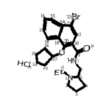 CCN1CCCC1CNC(=O)c1cc(Br)c2ccccc2c1OC1CCCC1.Cl